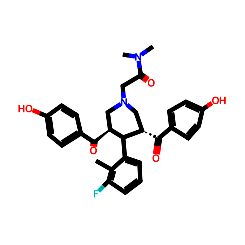 Cc1c(F)cccc1C1[C@@H](C(=O)c2ccc(O)cc2)CN(CC(=O)N(C)C)C[C@@H]1C(=O)c1ccc(O)cc1